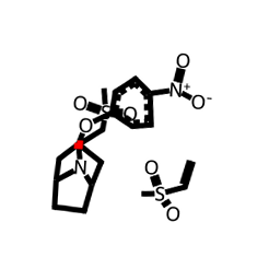 C=CS(C)(=O)=O.CS(=O)(=O)CCN1C2CCC1CC(Oc1ccc([N+](=O)[O-])cc1)C2